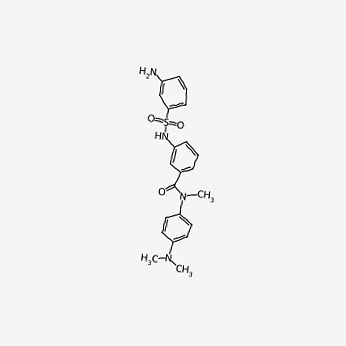 CN(C)c1ccc(N(C)C(=O)c2cccc(NS(=O)(=O)c3cccc(N)c3)c2)cc1